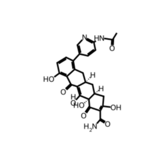 CC(=O)Nc1ccc(-c2ccc(O)c3c2C[C@H]2C[C@H]4CC(O)=C(C(N)=O)C(=O)[C@@]4(O)C(O)=C2C3=O)cn1